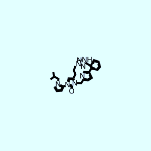 CCCc1cn(-c2cccn2CC(C)C)c(=O)n1Cc1ccc(-c2ccccc2-c2nnn[nH]2)cn1